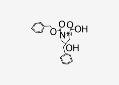 O=C(O)[C@@H]1CC(O)(Cc2ccccc2)CN1C(=O)OCc1ccccc1